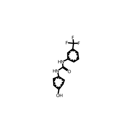 O=C(Nc1ccc(O)cc1)Nc1cccc(C(F)(F)F)c1